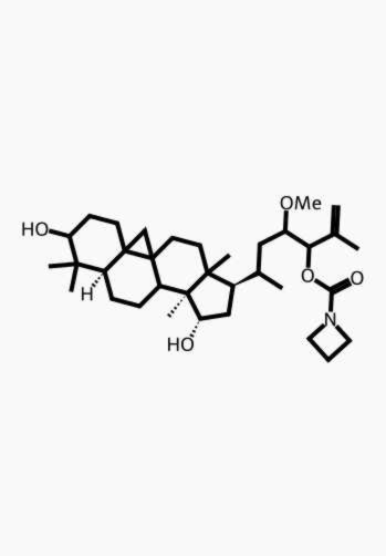 C=C(C)C(OC(=O)N1CCC1)C(CC(C)[C@H]1C[C@H](O)[C@@]2(C)C3CC[C@H]4C(C)(C)C(O)CCC45CC35CCC12C)OC